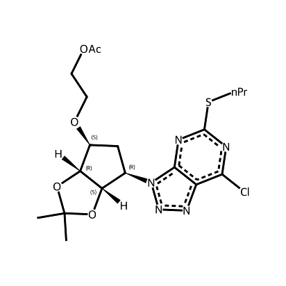 CCCSc1nc(Cl)c2nnn([C@@H]3C[C@H](OCCOC(C)=O)[C@H]4OC(C)(C)O[C@H]43)c2n1